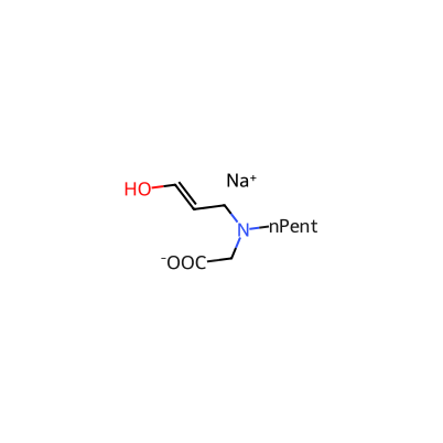 CCCCCN(CC=CO)CC(=O)[O-].[Na+]